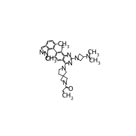 C=CC(=O)N1CC2(CCN(c3nc(N4CC(N(C)C)C4)nc4c(F)c(-c5c(C)ccc6cnn(C)c56)c(Cl)cc34)C2)C1